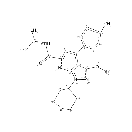 Cc1ccc(-c2cc(C(=O)N[S+](C)[O-])nc3c2c(OC(C)C)nn3C2CCCCC2)cc1